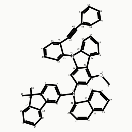 COc1cc(N(c2ccc3c(c2)-c2ccccc2C3(C)C)c2cccc3ccccc23)cc2c1c1ccccc1n2-c1ccccc1C#Cc1ccccc1